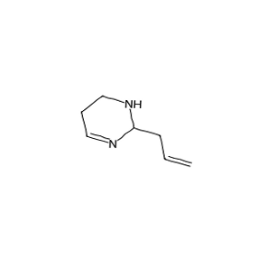 C=CCC1N=CCCN1